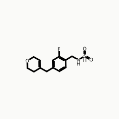 O=[SH](=O)NCc1ccc(CC2=CCOCC2)cc1F